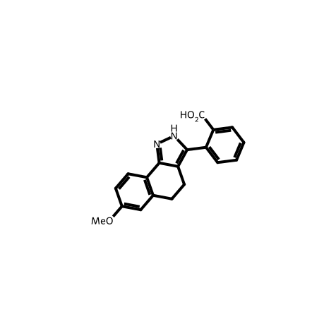 COc1ccc2c(c1)CCc1c-2n[nH]c1-c1ccccc1C(=O)O